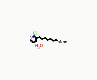 CCCCCCCCCCCCCCCCc1cccnc1Cl.O